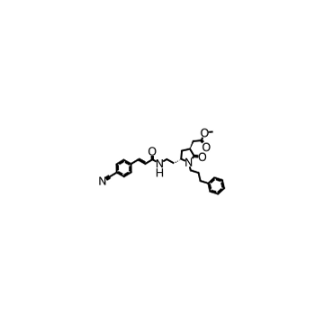 COC(=O)C[C@@H]1C[C@@H](CCNC(=O)C=Cc2ccc(C#N)cc2)N(CCCc2ccccc2)C1=O